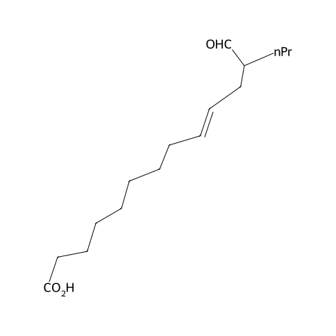 CCCC(C=O)CC=CCCCCCCCC(=O)O